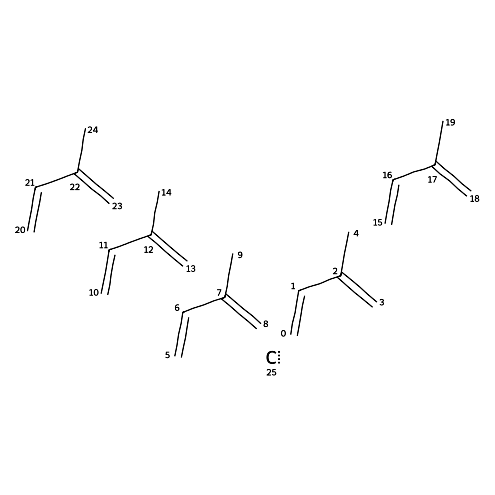 C=CC(=C)C.C=CC(=C)C.C=CC(=C)C.C=CC(=C)C.C=CC(=C)C.[C]